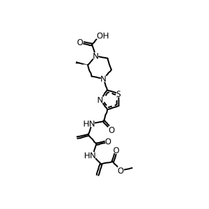 C=C(NC(=O)c1csc(N2CCN(C(=O)O)[C@H](C)C2)n1)C(=O)NC(=C)C(=O)OC